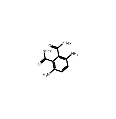 CCCCCCC(=O)c1c(N)ccc(N)c1C(=O)CCCCCC